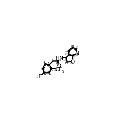 O=C(Cc1ccc(F)cc1C(F)(F)F)NC1COc2ncccc21